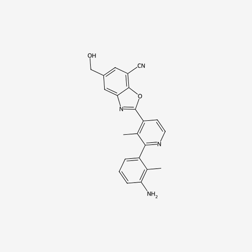 Cc1c(N)cccc1-c1nccc(-c2nc3cc(CO)cc(C#N)c3o2)c1C